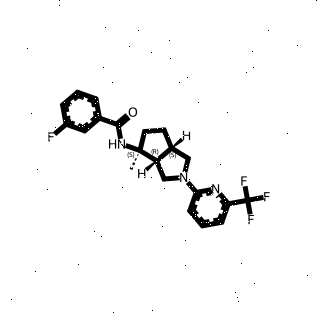 C[C@]1(NC(=O)c2cccc(F)c2)CC[C@@H]2CN(c3cccc(C(F)(F)F)n3)C[C@@H]21